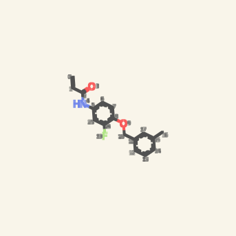 C=CC(=O)Nc1ccc(OCc2cccc(C)c2)c(F)c1